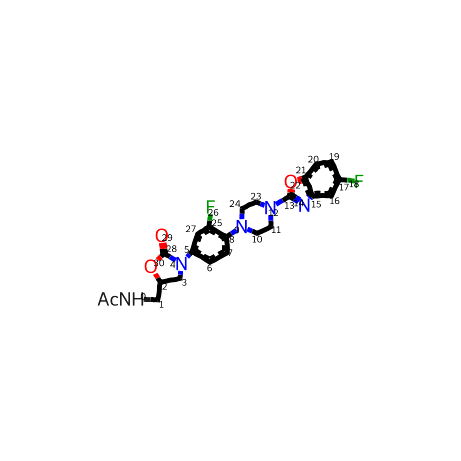 CC(=O)NCC1CN(c2ccc(N3CCN(c4nc5cc(F)ccc5o4)CC3)c(F)c2)C(=O)O1